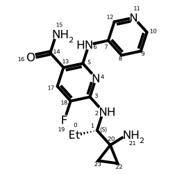 CC[C@H](Nc1nc(Nc2cccnc2)c(C(N)=O)cc1F)C1(N)CC1